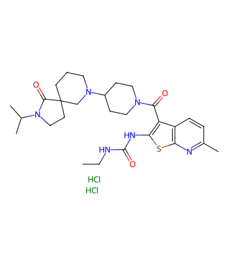 CCNC(=O)Nc1sc2nc(C)ccc2c1C(=O)N1CCC(N2CCCC3(CCN(C(C)C)C3=O)C2)CC1.Cl.Cl